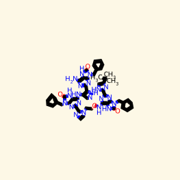 CC(C)(C)c1c[nH]c(-c2nc(NOCCn3ccnc3-c3nc(Nc4cn[nH]c4-c4nc(N)c5[nH]c(=O)n(Cc6ccccc6)c5n4)c4[nH]c(=O)n(Cc5ccccc5)c4n3)c3[nH]c(=O)n(Cc4ccccc4)c3n2)n1